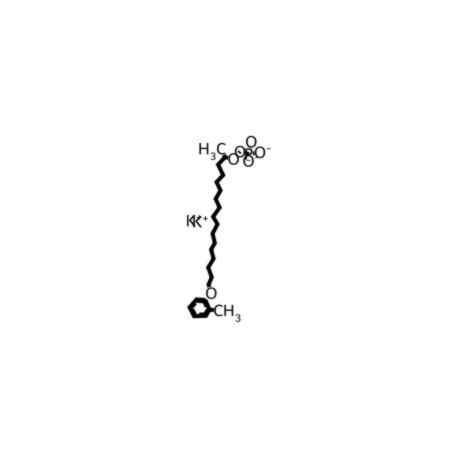 Cc1ccccc1OCCCCCCCCCCCCCCCC(C)OOP(=O)([O-])[O-].[K+].[K+]